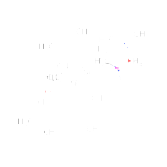 CC[Si](CC)(c1cc(C)cc(C(C)(C)C)c1OC)[C]1([Sc]([CH2]c2ccccc2N(C)C)[CH2]c2ccccc2N(C)C)C(C)=C(C)C(C)=C1C